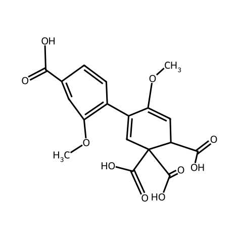 COC1=CC(C(=O)O)C(C(=O)O)(C(=O)O)C=C1c1ccc(C(=O)O)cc1OC